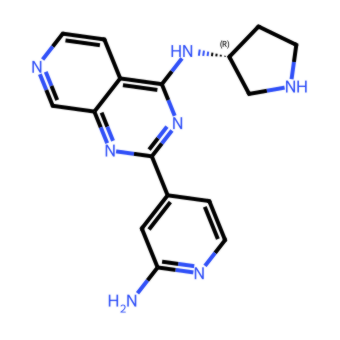 Nc1cc(-c2nc(N[C@@H]3CCNC3)c3ccncc3n2)ccn1